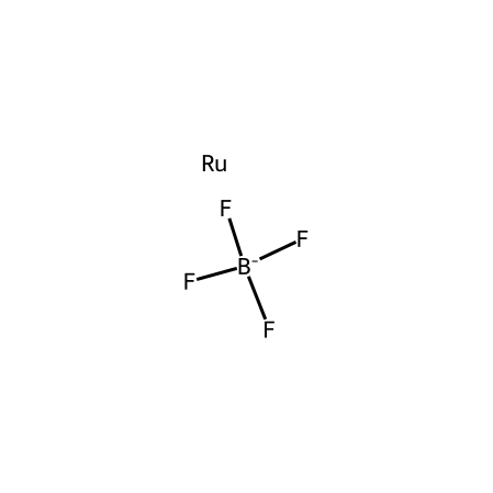 F[B-](F)(F)F.[Ru]